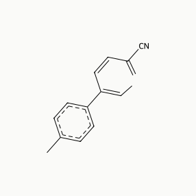 C=C(C#N)/C=C\C(=C/C)c1ccc(C)cc1